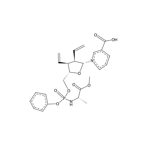 C=C[C@@H]1[C@H](C=C)[C@@H](COP(=O)(N[C@@H](C)C(=O)OC)Oc2ccccc2)O[C@H]1[n+]1cccc(C(=O)O)c1